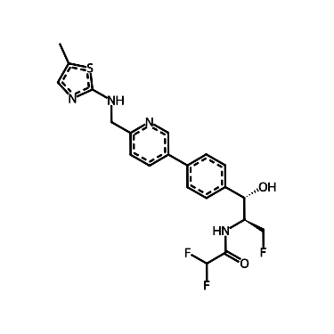 Cc1cnc(NCc2ccc(-c3ccc([C@H](O)[C@@H](CF)NC(=O)C(F)F)cc3)cn2)s1